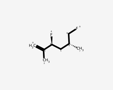 C=C(C)[C@@H](F)C[C@@H](C)CF